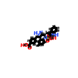 Cc1ccc(N([C@@H](Cc2c[nH]c3ccccc23)[C@@H](N)CCc2ccc(C(=O)O)cc2)S(=O)(=O)O)cc1